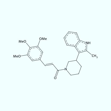 COc1cc(/C=C/C(=O)N2CCCC(c3c(C)[nH]c4ccccc34)C2)cc(OC)c1OC